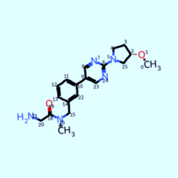 CO[C@H]1CCN(c2ncc(-c3cccc(CN(C)C(=O)CN)c3)cn2)C1